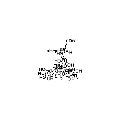 CCCCCCCCCCCCC/C=C/[C@@H](O)[C@H](CO[C@@H]1OC(CO)[C@@H](O[C@@H]2OC(CO)[C@H](O[C@@H]3OC(CO)[C@H](O)[C@H](O[C@@H]4OC(CO)[C@H](O)[C@H](O)C4O)C3C)[C@H](OC3C[C@@H](O)[C@@H](C)C([C@H](O)[C@H](O)CO)O3)C2O)[C@H](O)C1O)NC(=O)CCCCCCC